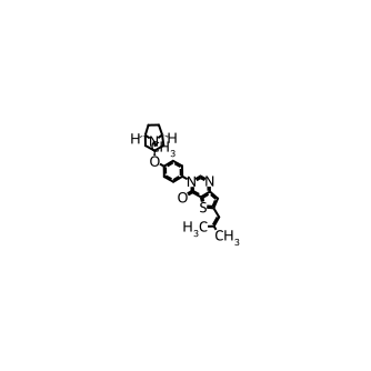 CC(C)=Cc1cc2ncn(-c3ccc(O[C@H]4C[C@H]5CC[C@@H](C4)N5C)cc3)c(=O)c2s1